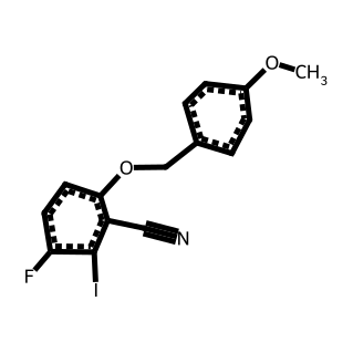 COc1ccc(COc2ccc(F)c(I)c2C#N)cc1